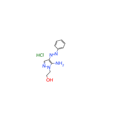 Cl.Nc1c(N=Nc2ccccc2)cnn1CCO